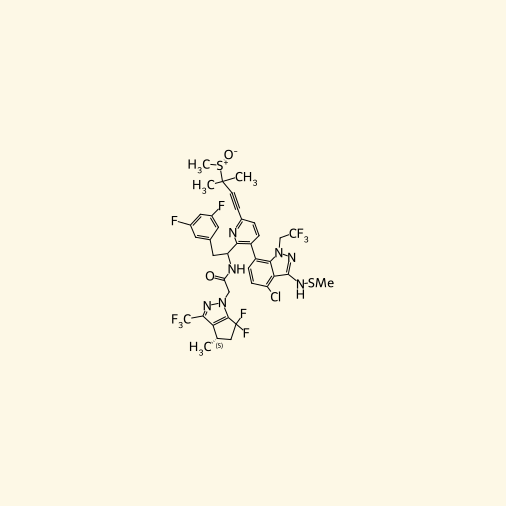 CSNc1nn(CC(F)(F)F)c2c(-c3ccc(C#CC(C)(C)[S+](C)[O-])nc3C(Cc3cc(F)cc(F)c3)NC(=O)Cn3nc(C(F)(F)F)c4c3C(F)(F)C[C@@H]4C)ccc(Cl)c12